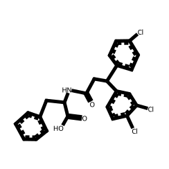 O=C(CC(c1ccc(Cl)cc1)c1ccc(Cl)c(Cl)c1)NC(Cc1ccccc1)C(=O)O